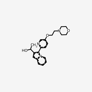 CC(O)c1cc2ccccn2c1-c1ccc(OCCN2CCOCC2)cn1